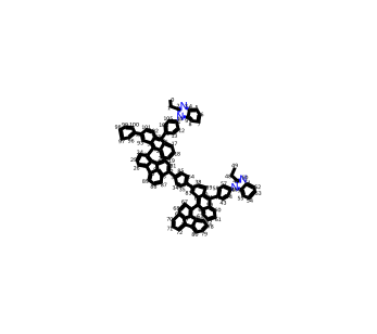 CCc1nc2ccccc2n1-c1ccc(-c2c3ccccc3c(-c3cccc4c3-c3ccc(-c5ccc(-c6ccc7c(-c8ccc(-n9c(CC)nc%10ccccc%109)cc8)c8ccccc8c(-c8ccc9cccc%10c9c8-c8ccccc8-%10)c7c6)cc5)c5cccc-4c35)c3cc(-c4ccccc4)ccc23)cc1